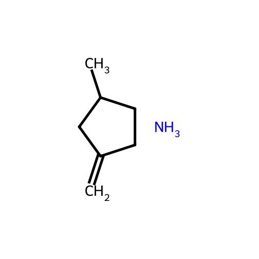 C=C1CCC(C)C1.N